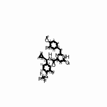 COc1ccc(Cc2nc(C(=O)N[C@@H](c3ccc(SC(F)(F)F)c(F)c3)C3CC3)cc(=O)[nH]2)cc1F